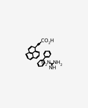 N=C(N)N.O=C(O)C#CC1C=Cc2cccc3cccc1c23.c1ccc(-c2ccccc2)cc1